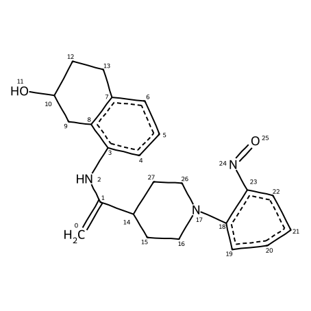 C=C(Nc1cccc2c1CC(O)CC2)C1CCN(c2ccccc2N=O)CC1